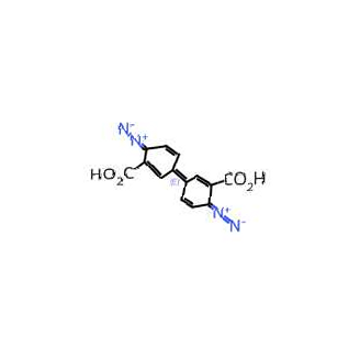 [N-]=[N+]=C1C=C/C(=C2/C=CC(=[N+]=[N-])C(C(=O)O)=C2)C=C1C(=O)O